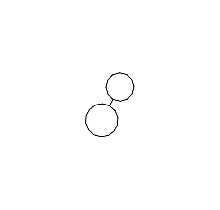 C1CCCCCCC(C2CCCCCCCCCCC2)CCCCCC1